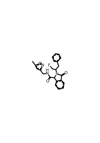 Cc1cc(CNC(=O)C2c3ccccc3C(=O)N2C(CF)Cc2ccccc2)no1